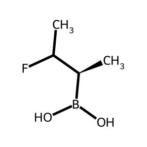 CC(F)[C@@H](C)B(O)O